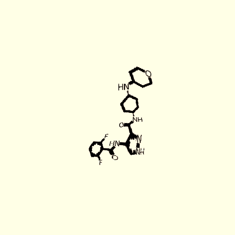 O=C(N[C@H]1CC[C@@H](NC2CCOCC2)CC1)c1n[nH]cc1NC(=O)c1c(F)cccc1F